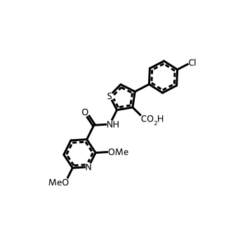 COc1ccc(C(=O)Nc2scc(-c3ccc(Cl)cc3)c2C(=O)O)c(OC)n1